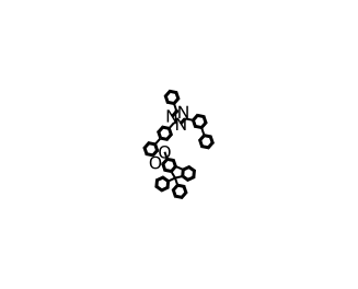 c1ccc(-c2cccc(-c3nc(-c4ccccc4)nc(-c4ccc(-c5cccc6c5Oc5cc7c(cc5O6)C(c5ccccc5)(c5ccccc5)c5ccccc5-7)cc4)n3)c2)cc1